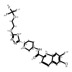 O=C(N[C@@H]1CC[C@@H](c2nnc(OCCOC(F)(F)F)o2)OC1)c1ccc2cc(Cl)c(F)cc2n1